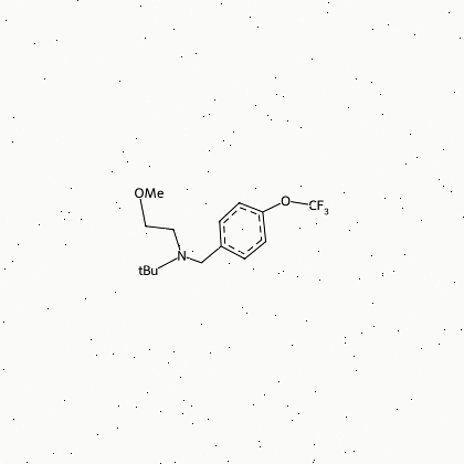 COCCN(Cc1ccc(OC(F)(F)F)cc1)C(C)(C)C